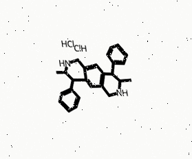 CC1NCc2cc3c(cc2C1c1ccccc1)CNC(C)C3c1ccccc1.Cl.Cl